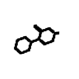 O=C1CNCCN1N1CCCCC1